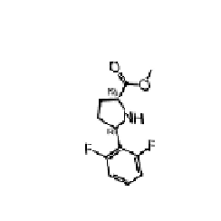 COC(=O)[C@@H]1CC[C@H](c2c(F)cccc2F)N1